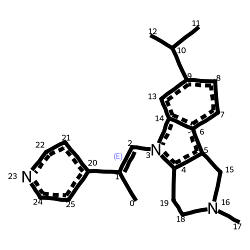 C/C(=C\n1c2c(c3ccc(C(C)C)cc31)CN(C)CC2)c1ccncc1